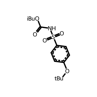 CC(C)COC(=O)NS(=O)(=O)c1ccc(OC(C)(C)C)cc1